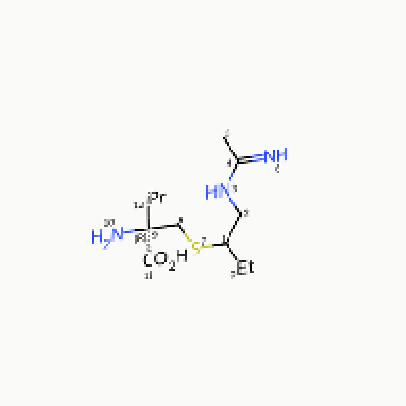 CCC(CNC(C)=N)SC[C@](N)(C(=O)O)C(C)C